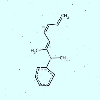 C=C/C=C\C=C(/C)N(C)c1ccccc1